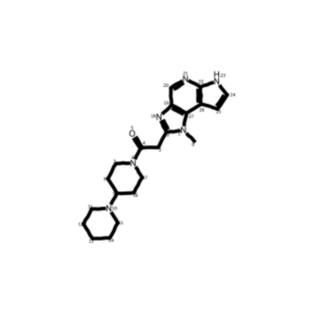 Cn1c(CC(=O)N2CCC(N3CCCCC3)CC2)nc2cnc3[nH]ccc3c21